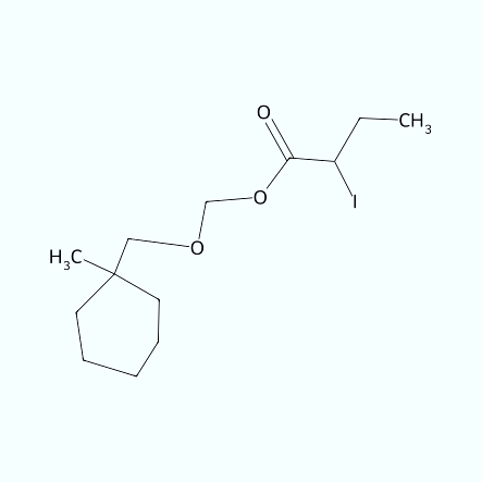 CCC(I)C(=O)OCOCC1(C)CCCCC1